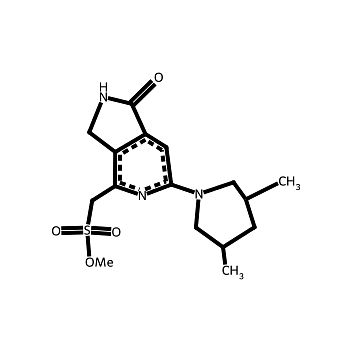 COS(=O)(=O)Cc1nc(N2CC(C)CC(C)C2)cc2c1CNC2=O